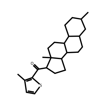 Cc1ccsc1C(=O)C1CCC2C3CCC4CC(C)CCC4C3CCC12C